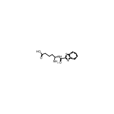 NC(CCCC(=O)O)NC(=O)c1nc2ccccc2s1